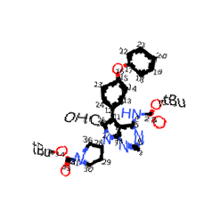 CC(C)(C)OC(=O)Nc1ncnc2c1c(-c1ccc(Oc3ccccc3)cc1)c(C=O)n2[C@@H]1CCN(C(=O)OC(C)(C)C)C1